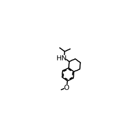 COc1ccc2c(c1)CCCC2NC(C)C